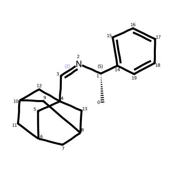 C[C@H](/N=C\C12CC3CC(CC(C3)C1)C2)c1ccccc1